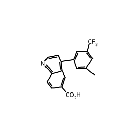 Cc1cc(-c2ccnc3ccc(C(=O)O)cc23)cc(C(F)(F)F)c1